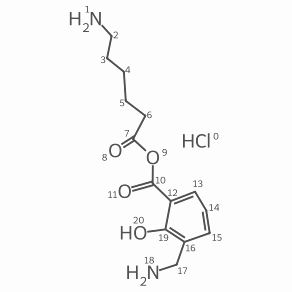 Cl.NCCCCCC(=O)OC(=O)c1cccc(CN)c1O